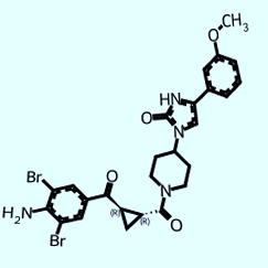 COc1cccc(-c2cn(C3CCN(C(=O)[C@@H]4C[C@H]4C(=O)c4cc(Br)c(N)c(Br)c4)CC3)c(=O)[nH]2)c1